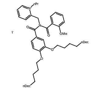 CCCCCCCCCCCCCCOc1ccc(C(=O)N(Cc2cccc[n+]2CCC)C(=O)c2ccccc2OC)cc1OCCCCCCCCCCCCCC.[I-]